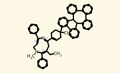 CC/C1=C(\c2ccccc2)N(C)C/C=C(c2ccccc2)/N=C(/C2=CCC(C)(c3cccc4c3-c3ccccc3C3c5ccccc5-c5ccccc5-c5ccccc5C43)CC2)C1